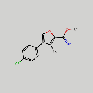 CCOC(=N)c1occ(-c2ccc(Cl)cc2)c1C#N